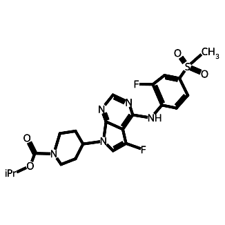 CC(C)OC(=O)N1CCC(n2cc(F)c3c(Nc4ccc(S(C)(=O)=O)cc4F)ncnc32)CC1